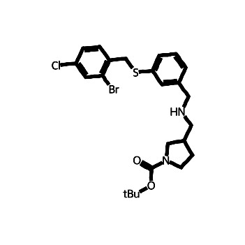 CC(C)(C)OC(=O)N1CCC(CNCc2cccc(SCc3ccc(Cl)cc3Br)c2)C1